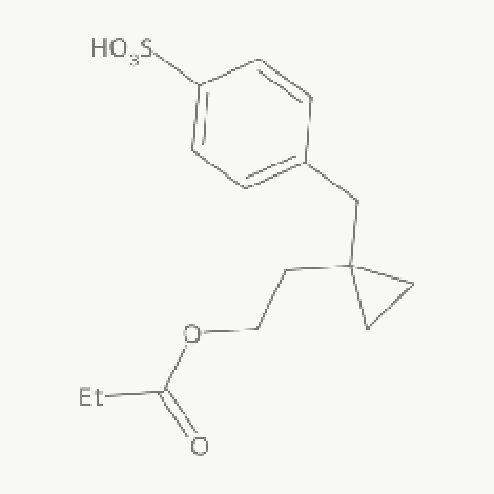 CCC(=O)OCCC1(Cc2ccc(S(=O)(=O)O)cc2)CC1